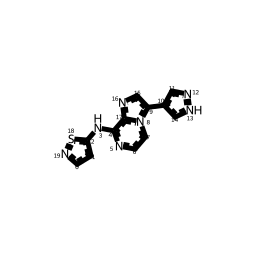 c1cc(Nc2nccn3c(-c4cn[nH]c4)cnc23)sn1